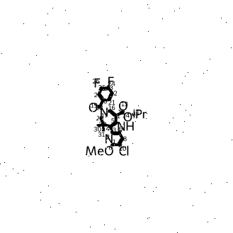 COc1nc2c3c([nH]c2cc1Cl)C(C(=O)OC(C)C)=CN(C(=O)c1ccc(F)c(F)c1)CC3(C)C